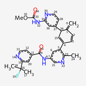 C=C1C=CC(c2cc(NC(=O)c3ccnc(C(C)(C)F)c3)cnc2C)=CC1c1ccnc(NC(=O)OC)c1